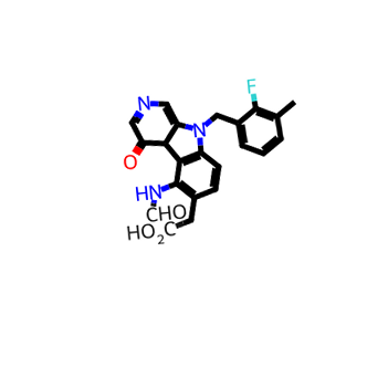 Cc1cccc(CN2C3=CN=CC(=O)C3c3c2ccc(CC(=O)O)c3NC=O)c1F